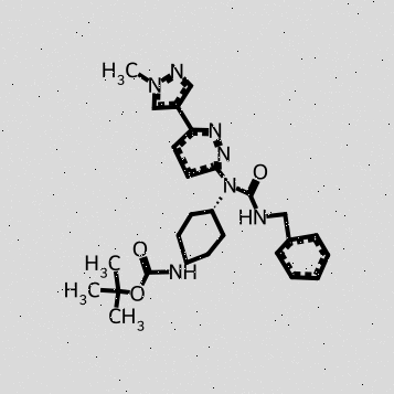 Cn1cc(-c2ccc(N(C(=O)NCc3ccccc3)[C@H]3CC[C@H](NC(=O)OC(C)(C)C)CC3)nn2)cn1